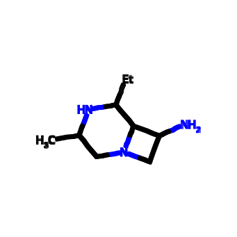 CCC1NC(C)CN2CC(N)C12